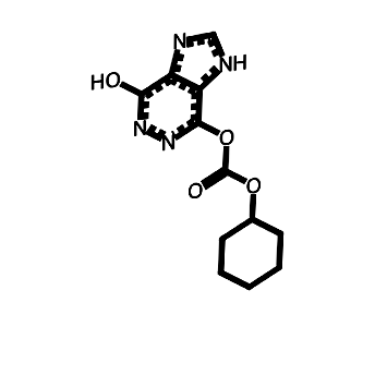 O=C(Oc1nnc(O)c2nc[nH]c12)OC1CCCCC1